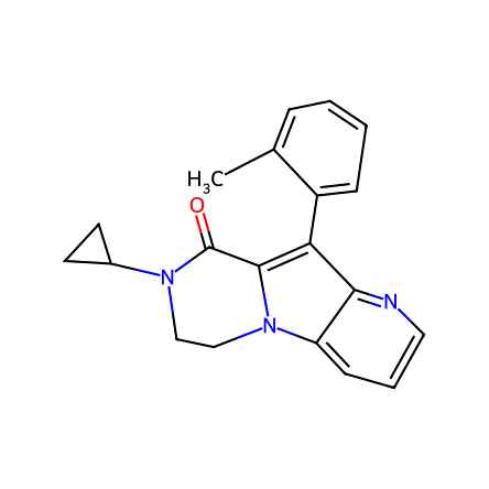 Cc1ccccc1-c1c2n(c3cccnc13)CCN(C1CC1)C2=O